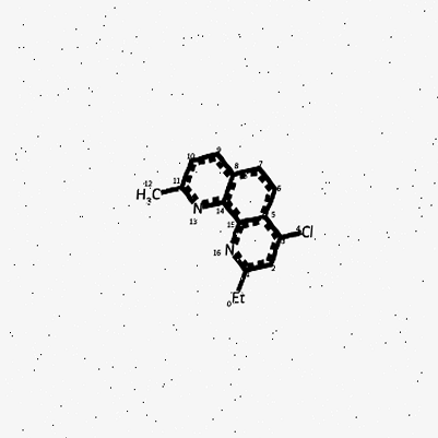 CCc1cc(Cl)c2ccc3ccc(C)nc3c2n1